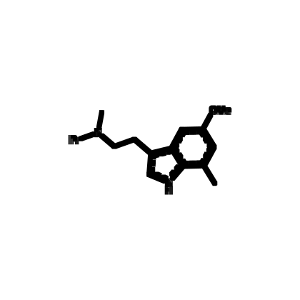 COc1cc(C)c2[nH]cc(CCN(C)C(C)C)c2c1